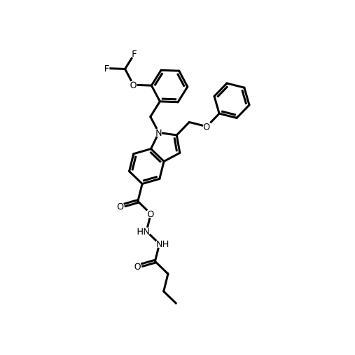 CCCC(=O)NNOC(=O)c1ccc2c(c1)cc(COc1ccccc1)n2Cc1ccccc1OC(F)F